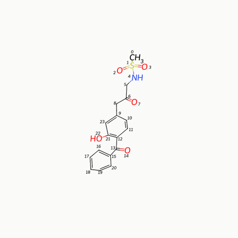 CS(=O)(=O)NCC(=O)Cc1ccc(C(=O)c2ccccc2)c(O)c1